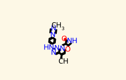 C#Cc1cc(=O)n(CC2CCNC2=O)c2nc(Nc3ccc(N4CCN(C)CC4)cc3)ncc12